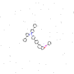 c1ccc(-c2ccc(N(c3ccc(-c4ccc(-c5ccc6ccc7oc(-c8ccccc8)nc7c6c5)cc4)cc3)c3cccc(-c4ccccc4)c3)cc2)cc1